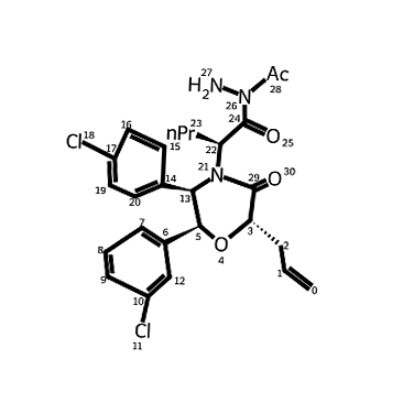 C=CC[C@@H]1O[C@@H](c2cccc(Cl)c2)[C@@H](c2ccc(Cl)cc2)N([C@@H](CCC)C(=O)N(N)C(C)=O)C1=O